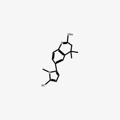 CSC1=Nc2ccc(-c3ccc(C#N)n3C)cc2C(C)(C)C1